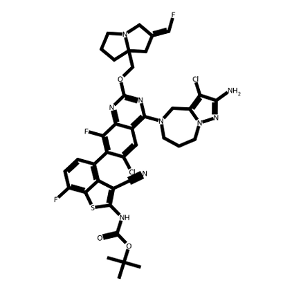 CC(C)(C)OC(=O)Nc1sc2c(F)ccc(-c3c(Cl)cc4c(N5CCCn6nc(N)c(Cl)c6C5)nc(OCC56CCCN5C/C(=C\F)C6)nc4c3F)c2c1C#N